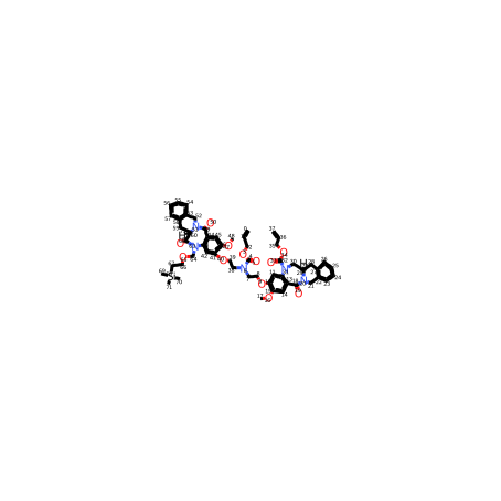 C=CCOC(=O)N(CCOc1cc2c(cc1OC)C(=O)N1Cc3ccccc3C[C@H]1CN2C(=O)OCC=C)CCOc1cc2c(cc1OC)C(=O)N1Cc3ccccc3C[C@H]1C(=O)N2COCC[Si](C)(C)C